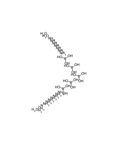 N.N.N.N.N.N.N.N.N.N.N.N.N.N.N.O.O.O.O.OB(O)O.OB(O)O.OB(O)O.OB(O)O.OB(O)O